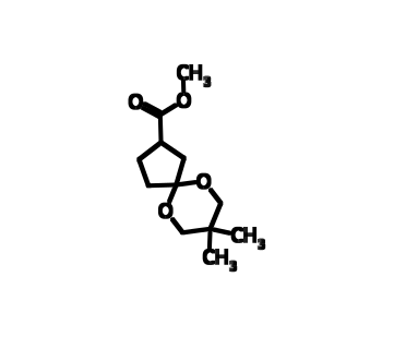 COC(=O)C1CCC2(C1)OCC(C)(C)CO2